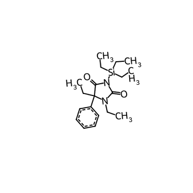 CCN1C(=O)N([Si](CC)(CC)CC)C(=O)C1(CC)c1ccccc1